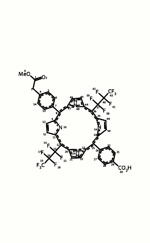 COC(=O)Cc1ccc(-c2c3nc(c(C(F)(F)C(F)(F)C(F)(F)F)c4ccc([nH]4)c(-c4ccc(C(=O)O)cc4)c4nc(c(C(F)(F)C(F)(F)C(F)(F)F)c5ccc2[nH]5)C=C4)C=C3)cc1